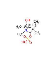 CCC(C)(C)C(OS(=O)(=O)O)N(C)C(C)C(C)O